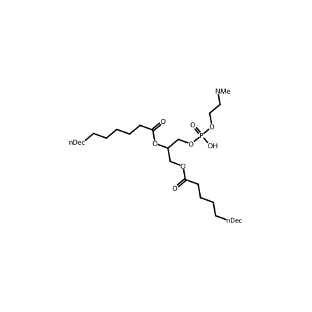 CCCCCCCCCCCCCCCC(=O)OC(COC(=O)CCCCCCCCCCCCCC)COP(=O)(O)OCCNC